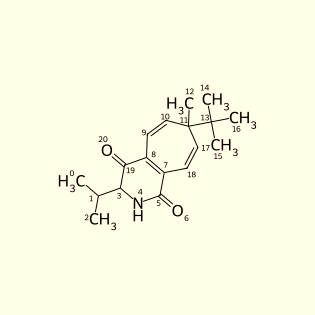 CC(C)C1NC(=O)C2=C(C=CC(C)(C(C)(C)C)C=C2)C1=O